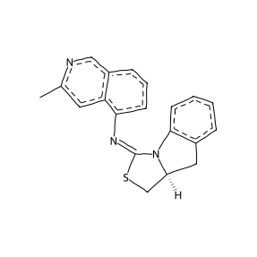 Cc1cc2c(N=C3SC[C@@H]4Cc5ccccc5N34)cccc2cn1